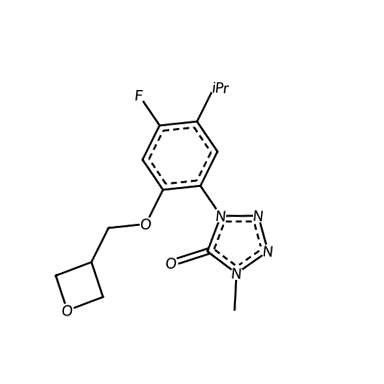 CC(C)c1cc(-n2nnn(C)c2=O)c(OCC2COC2)cc1F